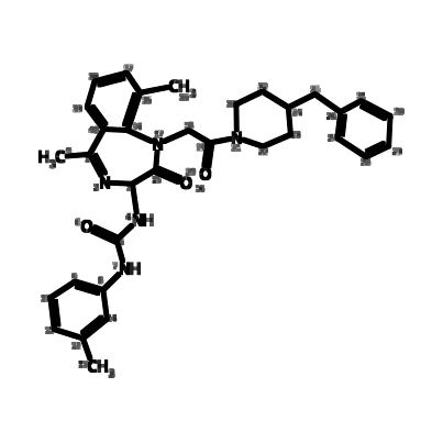 CC1=NC(NC(=O)Nc2cccc(C)c2)C(=O)N(CC(=O)N2CCC(Cc3ccccc3)CC2)c2c(C)cccc21